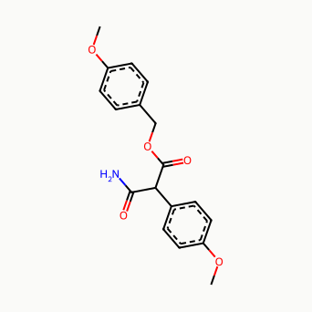 COc1ccc(COC(=O)C(C(N)=O)c2ccc(OC)cc2)cc1